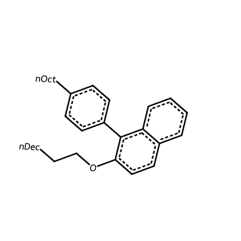 CCCCCCCCCCCCOc1ccc2ccccc2c1-c1ccc(CCCCCCCC)cc1